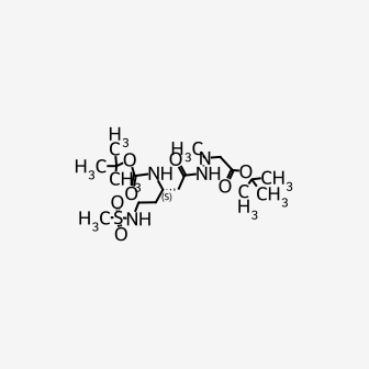 CN(CC(=O)OC(C)(C)C)NC(=O)C[C@H](CCNS(C)(=O)=O)NC(=O)OC(C)(C)C